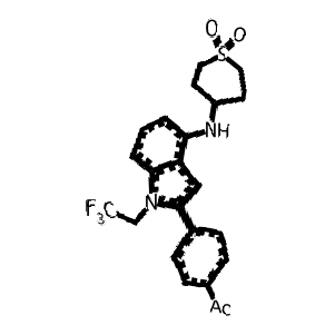 CC(=O)c1ccc(-c2cc3c(NC4CCS(=O)(=O)CC4)cccc3n2CC(F)(F)F)cc1